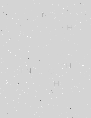 COc1c(C(=O)Nc2ccccc2C)ccc(N)c1C